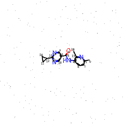 Cc1ccc(NC(=O)c2cnc(C3CC3)nc2)c(C)n1